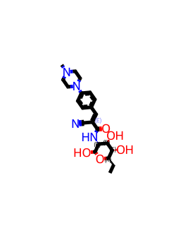 CC[C@H]1OC(O)[C@H](NC(=O)/C(C#N)=C/c2ccc(N3CCN(C)CC3)cc2)[C@@H](O)[C@@H]1O